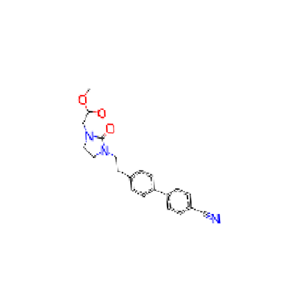 COC(=O)CN1CCN(CCc2ccc(-c3ccc(C#N)cc3)cc2)C1=O